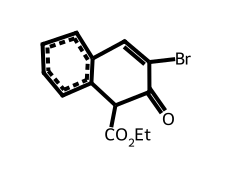 CCOC(=O)C1C(=O)C(Br)=Cc2ccccc21